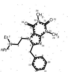 CCCN(CC)CCn1c(Cc2ccccc2)nc2c1c(=O)n(C)c(=O)n2C